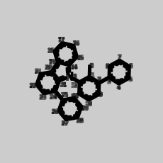 Cc1c(-c2ccccc2)cccc1-n1c2ccccc2c2cccc(-c3ccccc3)c21